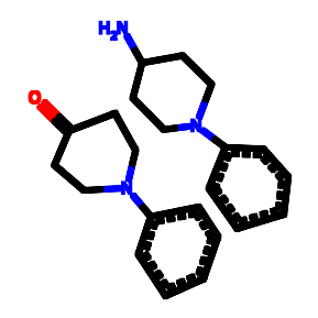 NC1CCN(c2ccccc2)CC1.O=C1CCN(c2ccccc2)CC1